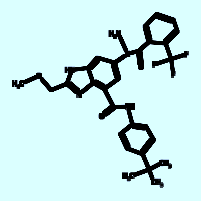 COCc1nc2c(C(=O)Nc3ccc(C(C)(C)C)cc3)cc(N(N)C(=O)c3ccccc3C(F)(F)F)cc2[nH]1